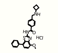 COc1ccc(-c2ccccc2)c2sc(NC(=O)c3ccc(CNC4CCC4)cc3)nc12.Cl